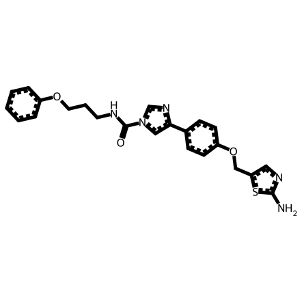 Nc1ncc(COc2ccc(-c3cn(C(=O)NCCCOc4ccccc4)cn3)cc2)s1